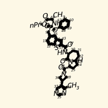 CCCOC(=O)[C@H](C)NP(=O)(Cc1ccc2sc(C(=O)N[C@H]3CCC[C@H]4CC[C@@H](C(=O)N5CC(c6cncnc6C)C5)N4C3=O)cc2c1)Oc1ccccc1